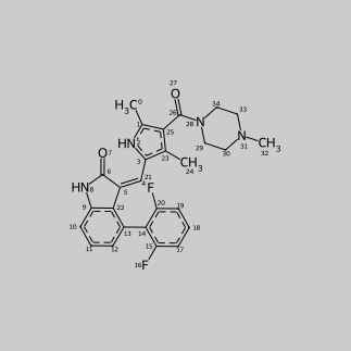 Cc1[nH]c(/C=C2\C(=O)Nc3cccc(-c4c(F)cccc4F)c32)c(C)c1C(=O)N1CCN(C)CC1